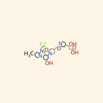 Cc1ccnc(N(CC(F)(F)F)C(=O)c2ccc(O)cc2N2CCC(COc3cc(C(O)CC(=O)O)ccn3)CC2)c1